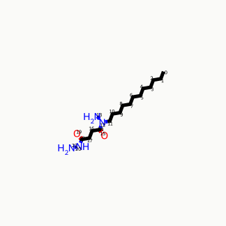 CCCCCCCCCCCCN(N)C(=O)CCC(=O)NN